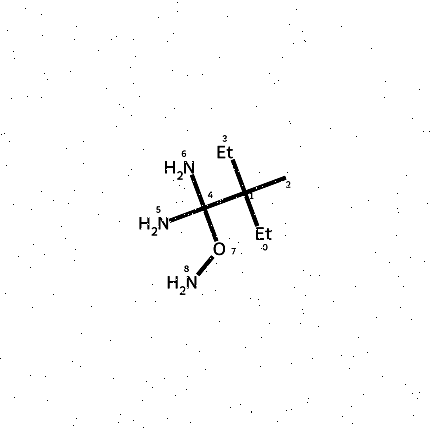 CCC(C)(CC)C(N)(N)ON